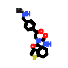 CCNCc1ccc(C(=O)CN2C(=O)NC3(CCCc4sccc43)C2=O)cc1